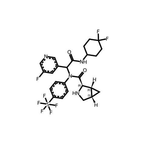 O=C(NC1CCC(F)(F)CC1)C(c1cncc(F)c1)N(C(=O)[C@@H]1NC[C@H]2C[C@H]21)c1ccc(S(F)(F)(F)(F)F)cc1